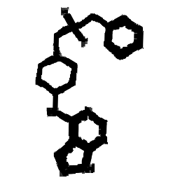 FC(F)(Cc1ccccc1)CN1CCC(Nc2ncnc3[nH]ncc23)CC1